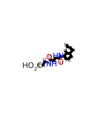 C=C/C=C\c1cccc(NC(=O)CCC(=O)NCCC(=O)O)c1C